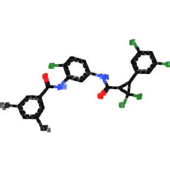 O=C(Nc1cc(NC(=O)C2C(c3cc(Cl)cc(Cl)c3)C2(Cl)Cl)ccc1Cl)c1cc(C(F)(F)F)cc(C(F)(F)F)c1